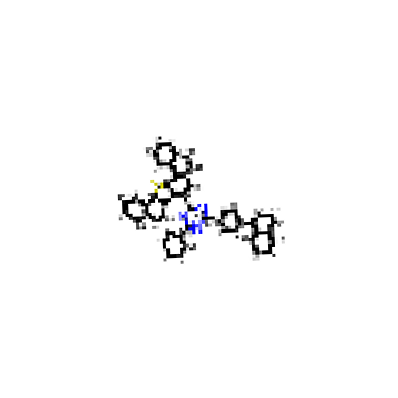 c1ccc(-c2nc(-c3ccc(-c4cccc5ccccc45)cc3)nc(-c3cc4ccc5ccccc5c4c4sc5c6ccccc6ccc5c34)n2)cc1